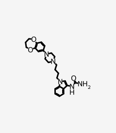 NC(=O)Nc1cn(CCCCN2CCN(c3ccc4c(c3)OCCCO4)CC2)c2ccccc12